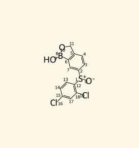 [O-][S+](c1ccc2c(c1)B(O)OC2)c1ccc(Cl)cc1Cl